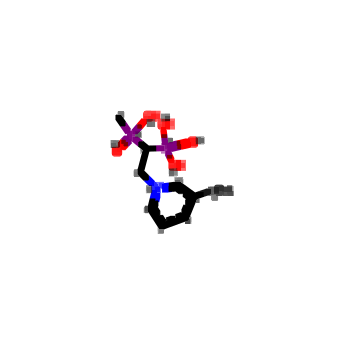 CCCCCCCCc1ccc[n+](CC(P(C)(=O)O)P(=O)(O)O)c1